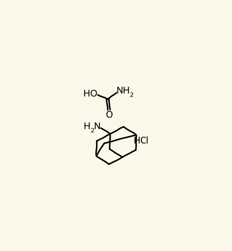 Cl.NC(=O)O.NC12CC3CC(CC(C3)C1)C2